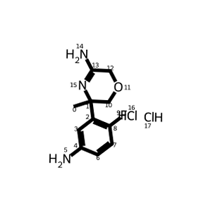 CC1(c2cc(N)ccc2F)COCC(N)=N1.Cl.Cl